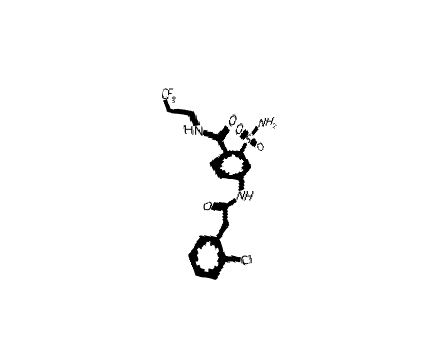 NS(=O)(=O)c1cc(NC(=O)Cc2ccccc2Cl)ccc1C(=O)NCCC(F)(F)F